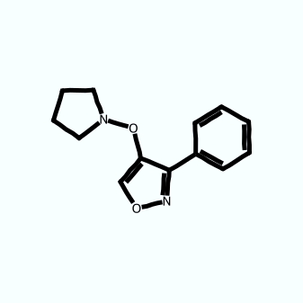 c1ccc(-c2nocc2ON2CCCC2)cc1